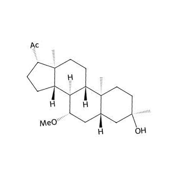 CO[C@H]1C[C@H]2C[C@](C)(O)CC[C@]2(C)[C@H]2CC[C@]3(C)[C@@H](C(C)=O)CC[C@H]3[C@H]12